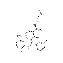 Cc1ccc(N)cc1Nc1c2cccc(C)c2nc2c(C(=O)NCCN(C)C)cccc12